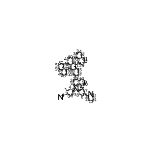 N#Cc1ccc(N(c2ccc(-c3ccccn3)cc2)c2ccc(-c3ccc4c(-c5cccc6ccccc56)c5ccccc5c(-c5cccc6ccccc56)c4c3)c3ccccc23)cc1